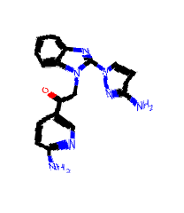 Nc1ccc(C(=O)Cn2c(-n3ccc(N)n3)nc3ccccc32)cn1